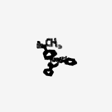 CC(Br)c1ccc(N2C=C(c3ccccc3)CN(c3ccccc3)N2)cc1